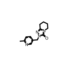 Cc1ccc(Cn2nc3n(c2=O)CCCC3)cn1